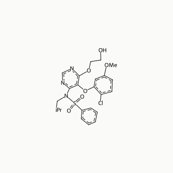 COc1ccc(Cl)c(Oc2c(OCCO)ncnc2N(CC(C)C)S(=O)(=O)c2ccccc2)c1